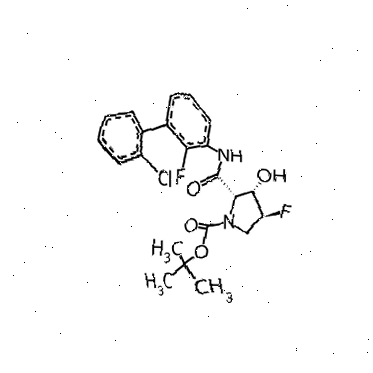 CC(C)(C)OC(=O)N1C[C@H](F)[C@@H](O)[C@H]1C(=O)Nc1cccc(-c2ccccc2Cl)c1F